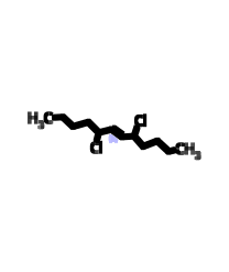 CCCCC(Cl)/C=C/C(Cl)CCCC